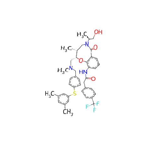 Cc1cc(C)cc(Sc2ccc(CN(C)C[C@H]3Oc4c(NC(=O)Cc5ccc(C(F)(F)F)cc5)cccc4C(=O)N([C@@H](C)CO)C[C@H]3C)cc2)c1